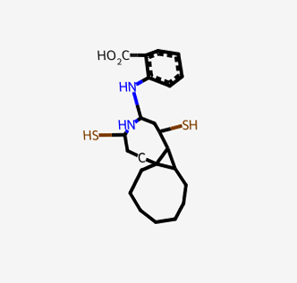 O=C(O)c1ccccc1NC1CC(S)C2C3CCCCCCCC32CCC(S)N1